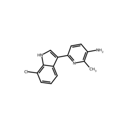 Cc1nc(-c2c[nH]c3c(Cl)cccc23)ccc1N